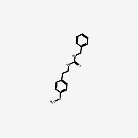 COc1ccc(CCNC(=O)NCc2ccccc2)cc1